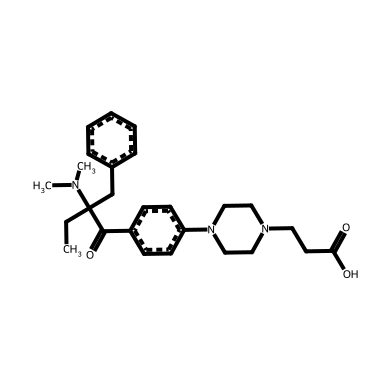 CCC(Cc1ccccc1)(C(=O)c1ccc(N2CCN(CCC(=O)O)CC2)cc1)N(C)C